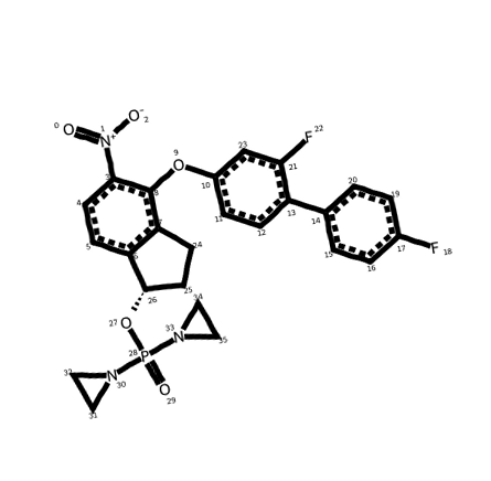 O=[N+]([O-])c1ccc2c(c1Oc1ccc(-c3ccc(F)cc3)c(F)c1)CC[C@@H]2OP(=O)(N1CC1)N1CC1